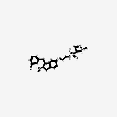 CNC1Cc2ccc(OCCNS(=O)(=O)c3cnn(C)c3)cc2C1Cc1cccc(Cl)c1